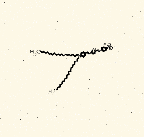 CCCCCCCCCCCCCCCCCCCCCCN(CCCCCCCCCCCCCCCCCCCCCC)c1ccc(/C=C/c2ccc(/C=C/c3ccc([N+](=O)[O-])c(F)c3)nc2)cc1